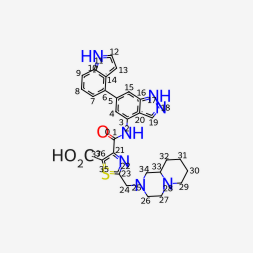 O=C(Nc1cc(-c2cccc3[nH]ccc23)cc2[nH]ncc12)c1nc(CN2CCN3CCCCC3C2)sc1C(=O)O